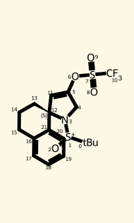 CC(C)(C)[S+]([O-])N1CC(OS(=O)(=O)C(F)(F)F)=C[C@]12CCCc1ccccc12